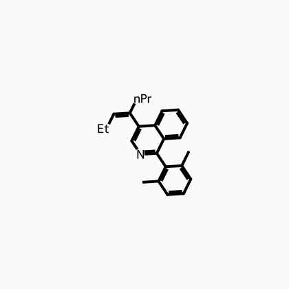 CC/C=C(/CCC)c1cnc(-c2c(C)cccc2C)c2ccccc12